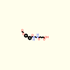 O=CCOc1ccc(-c2cccc(C(=O)NCCNC(=O)CCCC(=O)O)c2)cc1